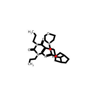 CCCn1c(=O)c2[nH]c(C3CC4CCC(C3)C4NCCN3CCOCC3)nc2n(CCC)c1=O